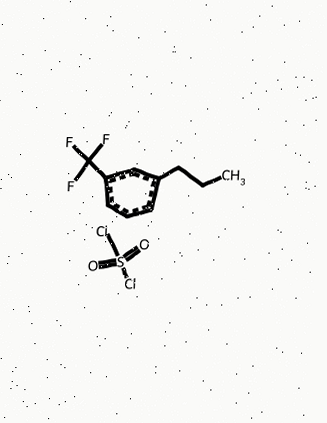 CCCc1cccc(C(F)(F)F)c1.O=S(=O)(Cl)Cl